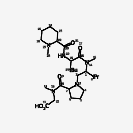 CC(C)C(CN1CCCC1C(=O)N(C)CC(=O)O)N(C)C(=O)C(NC(=O)C1CCCCN1C)C(C)(C)C